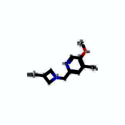 Cc1cc(CN2CC(S(=O)(=O)O)C2)ncc1OC(F)(F)F